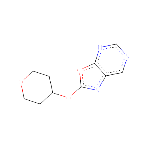 c1ncc2nc(OC3CCOCC3)oc2n1